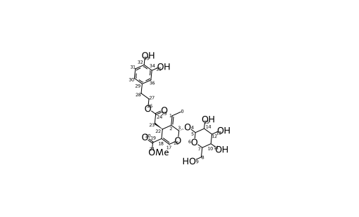 C/C=C1\[C@H](OC2OC(CO)C(O)C(O)C2O)OC=C(C(=O)OC)[C@H]1CC(=O)OCCc1ccc(O)c(O)c1